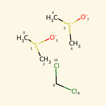 C[S+](C)[O-].C[S+](C)[O-].ClCCl